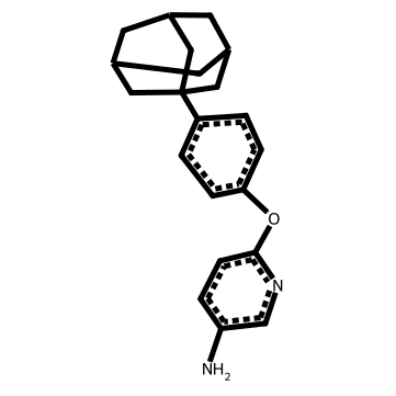 Nc1ccc(Oc2ccc(C34CC5CC(CC(C5)C3)C4)cc2)nc1